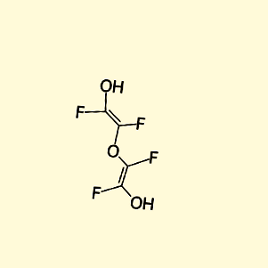 OC(F)=C(F)OC(F)=C(O)F